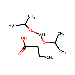 CC(C)[O][AlH][O]C(C)C.CCCC(=O)O